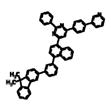 CC1(C)c2ccccc2-c2cc(-c3cccc(-c4ccc(-c5cc(-c6ccc(-c7cccnc7)cc6)nc(-c6ccccc6)n5)c5ccccc45)c3)ccc21